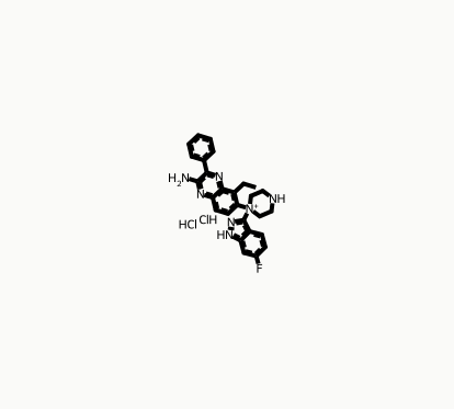 CCc1c([N+]2(c3n[nH]c4cc(F)ccc34)CCNCC2)ccc2nc(N)c(-c3ccccc3)nc12.Cl.Cl